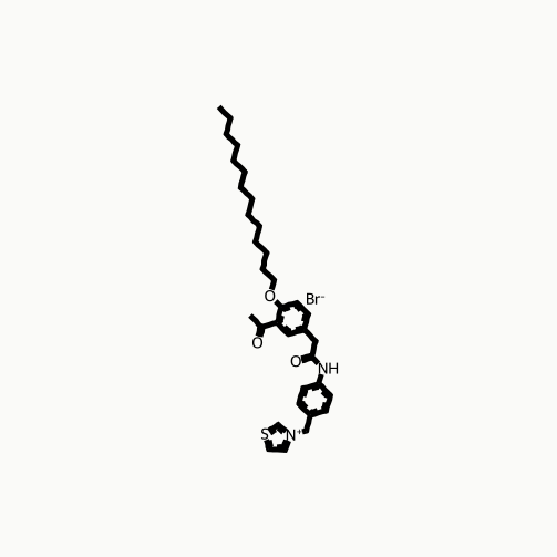 CCCCCCCCCCCCCCOc1ccc(CC(=O)Nc2ccc(C[n+]3ccsc3)cc2)cc1C(C)=O.[Br-]